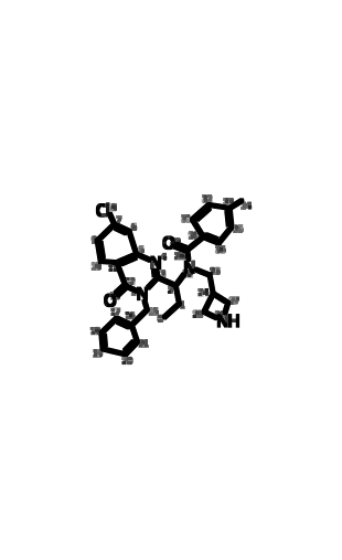 CCC(c1nc2cc(Cl)ccc2c(=O)n1Cc1ccccc1)N(CC1CNC1)C(=O)c1ccc(C)cc1